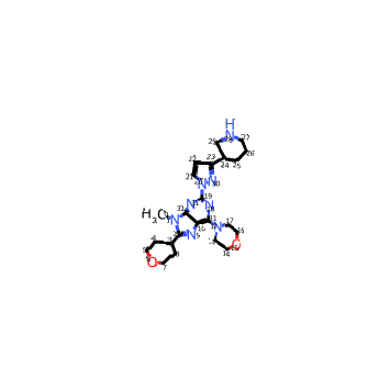 Cn1c(C2CCOCC2)nc2c(N3CCOCC3)nc(-n3ccc(C4CCCNC4)n3)nc21